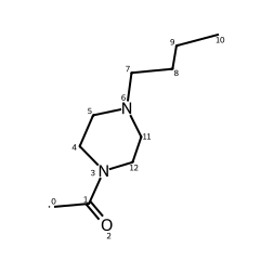 [CH2]C(=O)N1CCN(CCCC)CC1